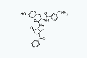 NCc1cccc(C(=O)NC(Cc2ccc(O)cc2)C(=O)N2CCC3C2C(=O)CN3C(=O)c2ccccc2)c1